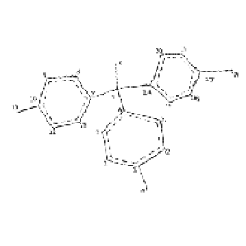 Cc1ccc(C(C)(c2ccc(C)cc2)c2ccc(C)cc2)cc1